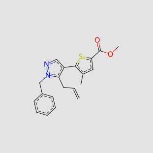 C=CCc1c(-c2sc(C(=O)OC)cc2C)cnn1Cc1ccccc1